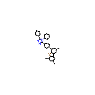 Cc1cc(C)c2sc3c(-c4ccc(-c5nnc(-c6ccccc6)n5-c5ccccc5)cc4)cc(C)cc3c2c1